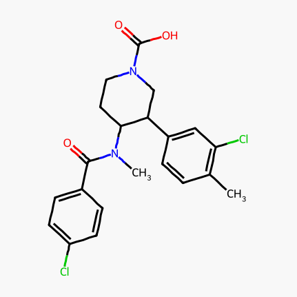 Cc1ccc(C2CN(C(=O)O)CCC2N(C)C(=O)c2ccc(Cl)cc2)cc1Cl